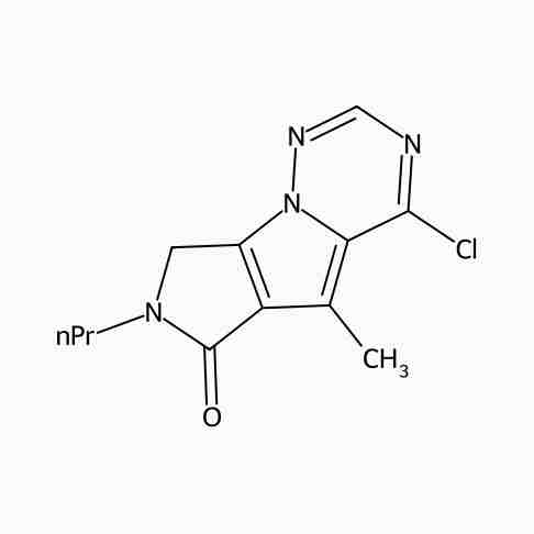 CCCN1Cc2c(c(C)c3c(Cl)ncnn23)C1=O